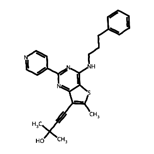 Cc1sc2c(NCCCc3ccccc3)nc(-c3ccncc3)nc2c1C#CC(C)(C)O